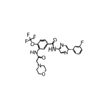 O=C(CN1CCOCC1)Nc1cc(C(=O)Nc2cnc(-c3cccc(F)c3)cn2)ccc1OC(F)(F)F